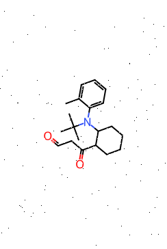 Cc1ccccc1N(C1CCCCC1C(=O)CC=O)C(C)(C)C